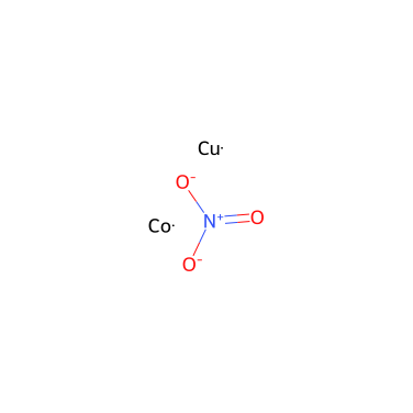 O=[N+]([O-])[O-].[Co].[Cu]